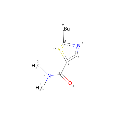 CN(C)C(=O)c1cnc(C(C)(C)C)s1